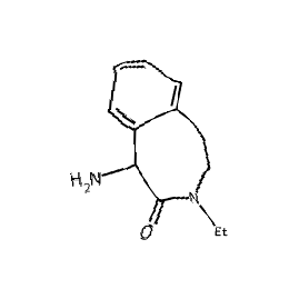 CCN1CCc2ccccc2C(N)C1=O